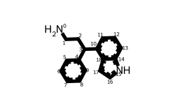 NCCC(c1ccccc1)c1cccc2[nH]ccc12